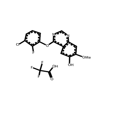 COc1cc2ncnc(Oc3cccc(Cl)c3F)c2cc1O.O=C(O)C(F)(F)F